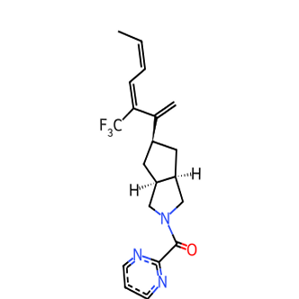 C=C(/C(=C\C=C/C)C(F)(F)F)[C@@H]1C[C@@H]2CN(C(=O)c3ncccn3)C[C@@H]2C1